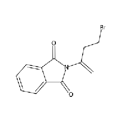 C=C(CCBr)N1C(=O)c2ccccc2C1=O